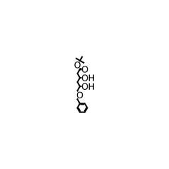 CC(C)(C)OC(=O)CC(O)CC(O)COCc1ccccc1